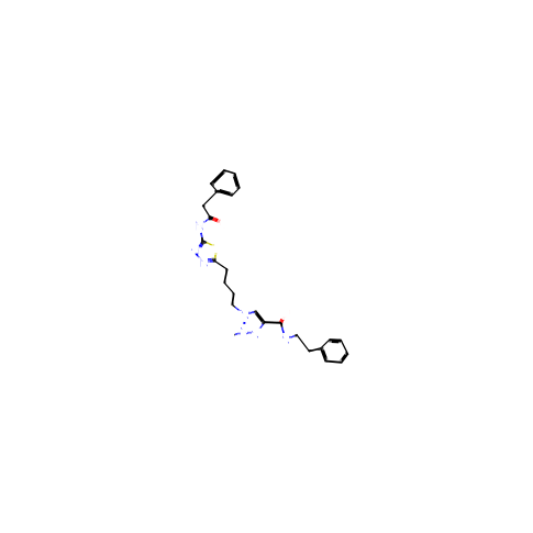 CN1NC(C(=O)NCCc2ccccc2)=CN1CCCCc1nnc(NC(=O)Cc2ccccc2)s1